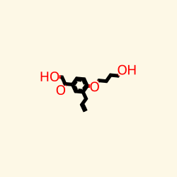 C=CCc1cc(C(=O)CO)ccc1OCCCCO